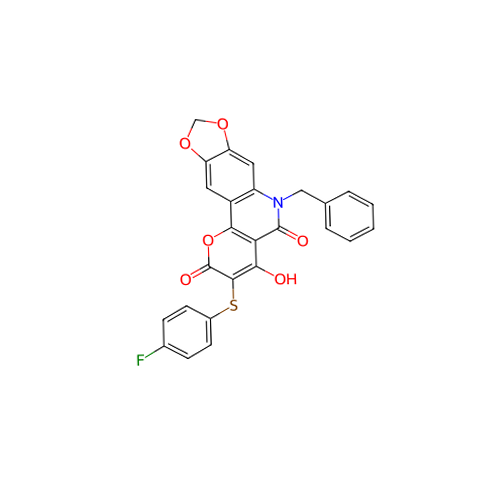 O=c1oc2c(c(O)c1Sc1ccc(F)cc1)c(=O)n(Cc1ccccc1)c1cc3c(cc21)OCO3